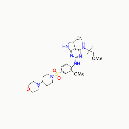 COCC(C)(C)Nc1nc(Nc2ccc(S(=O)(=O)N3CCC(N4CCOCC4)CC3)cc2OC)nc2[nH]cc(C#N)c12